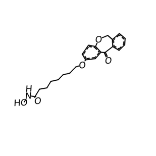 O=C(CCCCCCCOc1ccc2c(c1)C(=O)c1ccccc1CO2)NO